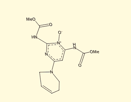 COC(=O)Nc1cc(N2CC=CCC2)nc(NC(=O)OC)[n+]1[O-]